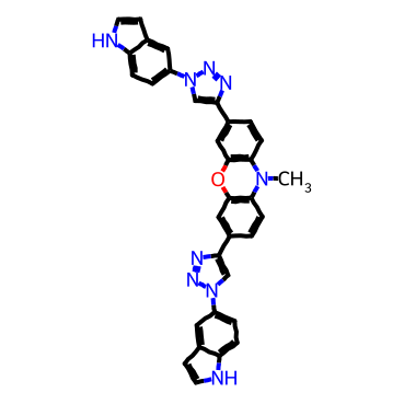 CN1c2ccc(-c3cn(-c4ccc5[nH]ccc5c4)nn3)cc2Oc2cc(-c3cn(-c4ccc5[nH]ccc5c4)nn3)ccc21